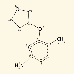 Cc1ccc(N)cc1OC1CCOC1